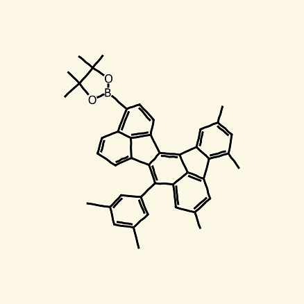 Cc1cc(C)cc(-c2c3cc(C)cc4c5c(C)cc(C)cc5c(c34)c3c4ccc(B5OC(C)(C)C(C)(C)O5)c5cccc(c23)c54)c1